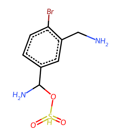 NCc1cc(C(N)O[SH](=O)=O)ccc1Br